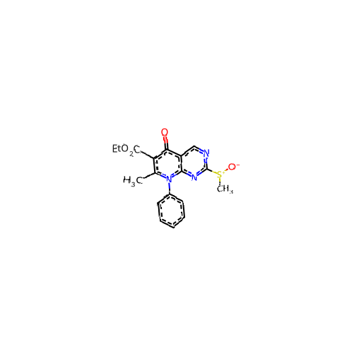 CCOC(=O)c1c(C)n(-c2ccccc2)c2nc([S+](C)[O-])ncc2c1=O